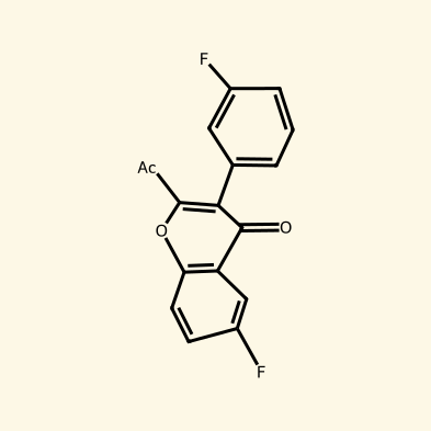 CC(=O)c1oc2ccc(F)cc2c(=O)c1-c1cccc(F)c1